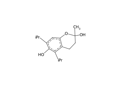 CC(C)c1cc2c(c(C(C)C)c1O)CCC(C)(O)O2